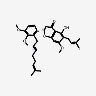 COc1cc2c(c(O)c1C/C=C(\C)I)C(=O)C[C@@H](c1ccc(OC)c(OC)c1C/C=C/CCC=C(C)C)O2